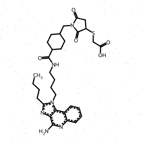 CCCCc1nc2c(N)nc3ccccc3c2n1CCCCNC(=O)C1CCC(CN2C(=O)CC(SCC(=O)O)C2=O)CC1